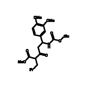 COC(=O)C(CC(C)C)C(=O)CC(NC(=O)OC(C)(C)C)c1ccc(OC)c(OC)c1